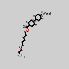 C=CCOCCCCCCOC(=O)C1CCC(C2CCC(CCCCC)CC2)CC1